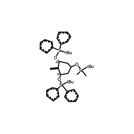 C=C1[C@H](O[Si](c2ccccc2)(c2ccccc2)C(C)(C)C)CC(O[Si](C)(C)C(C)(C)C)C[C@H]1O[Si](c1ccccc1)(c1ccccc1)C(C)(C)C